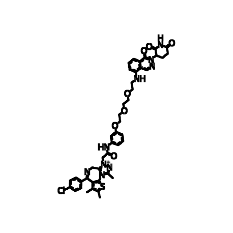 Cc1sc2c(c1C)C(c1ccc(Cl)cc1)=NCc1n-2c(C)n[n+]1CC(=O)Nc1cccc(OCCOCCOCCNc2cccc3c(=O)n(C4CCC(=O)NC4=O)ncc23)c1